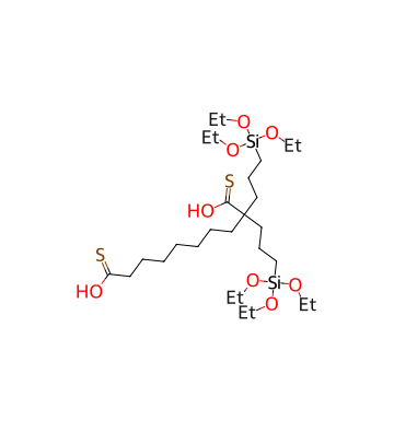 CCO[Si](CCCC(CCCCCCCC(O)=S)(CCC[Si](OCC)(OCC)OCC)C(O)=S)(OCC)OCC